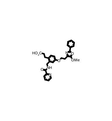 COc1oc(-c2ccccc2)nc1CCOc1ccc(CCC(=O)O)c(CNC(=O)c2ccccn2)c1